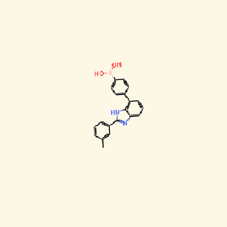 Cc1cccc(-c2nc3cccc(-c4ccc(B(O)O)cc4)c3[nH]2)c1